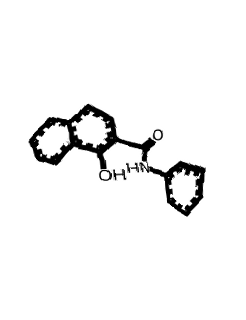 O=C(Nc1ccccc1)c1ccc2ccccc2c1O